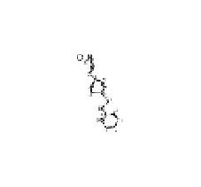 O=[N+]([O-])/C=C/c1ccc(SCc2ccccc2)cc1